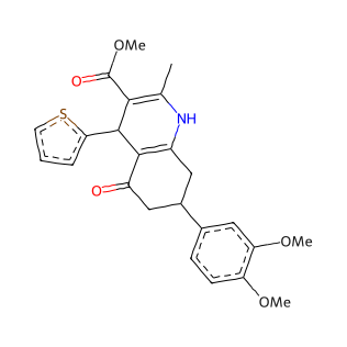 COC(=O)C1=C(C)NC2=C(C(=O)CC(c3ccc(OC)c(OC)c3)C2)C1c1cccs1